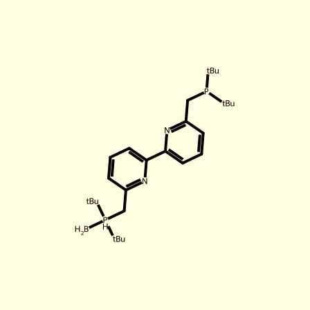 B[PH](Cc1cccc(-c2cccc(CP(C(C)(C)C)C(C)(C)C)n2)n1)(C(C)(C)C)C(C)(C)C